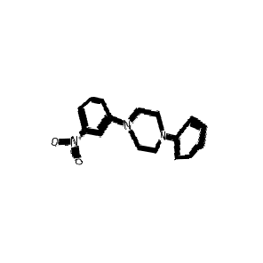 O=[N+]([O-])c1cccc(N2CCN(c3ccccc3)CC2)c1